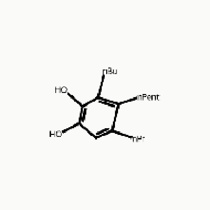 CCCCCc1c(CCC)cc(O)c(O)c1CCCC